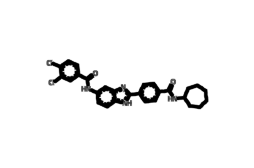 O=C(Nc1ccc2[nH]c(-c3ccc(C(=O)NC4CCCCCC4)cc3)nc2c1)c1ccc(Cl)c(Cl)c1